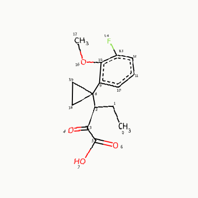 CCC(C(=O)C(=O)O)C1(c2cccc(F)c2OC)CC1